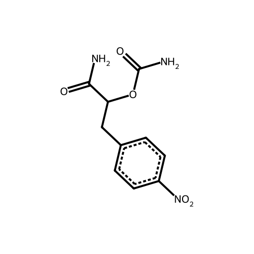 NC(=O)OC(Cc1ccc([N+](=O)[O-])cc1)C(N)=O